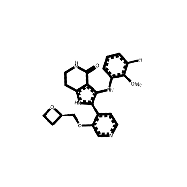 COc1c(Cl)cccc1Nc1c(-c2ccncc2OC[C@H]2CCO2)[nH]c2c1C(=O)NCC2